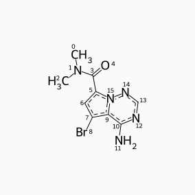 CN(C)C(=O)c1cc(Br)c2c(N)ncnn12